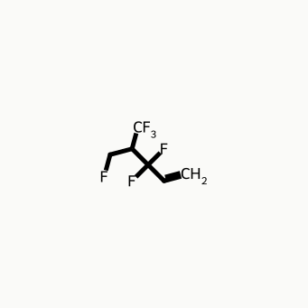 C=CC(F)(F)C(CF)C(F)(F)F